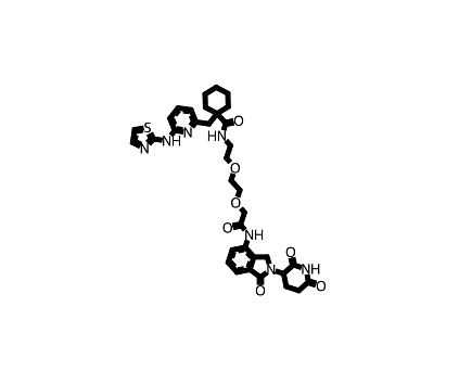 O=C1CCC(N2Cc3c(NC(=O)COCCOCCNC(=O)C4(Cc5cccc(Nc6nccs6)n5)CCCCC4)cccc3C2=O)C(=O)N1